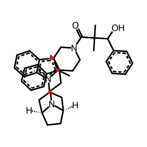 Cc1nc2ccccc2n1C1C[C@H]2CC[C@@H](C1)N2CCC1(c2ccccc2)CCN(C(=O)C(C)(C)C(O)c2ccccc2)CC1